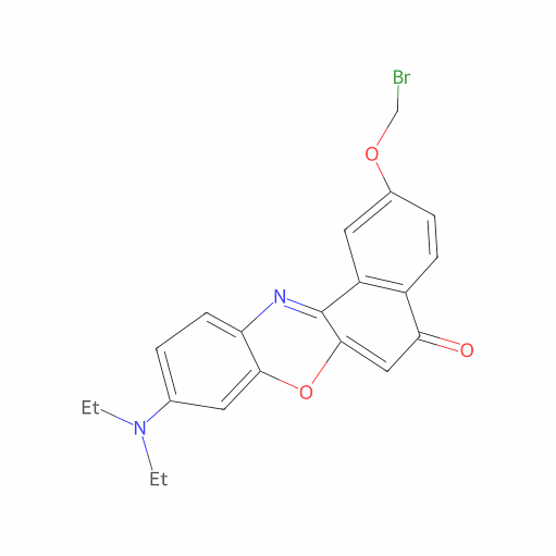 CCN(CC)c1ccc2nc3c4cc(OCBr)ccc4c(=O)cc-3oc2c1